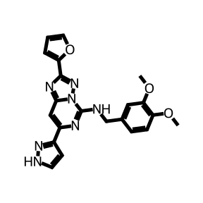 COc1ccc(CNc2nc(-c3cc[nH]n3)cc3nc(-c4ccco4)nn23)cc1OC